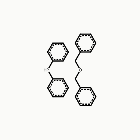 c1ccc(COCc2ccccc2)cc1.c1ccc(Pc2ccccc2)cc1